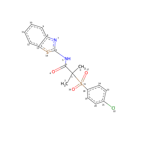 CC(C)(C(=O)Nc1nc2ccccc2s1)S(=O)(=O)c1ccc(Cl)cc1